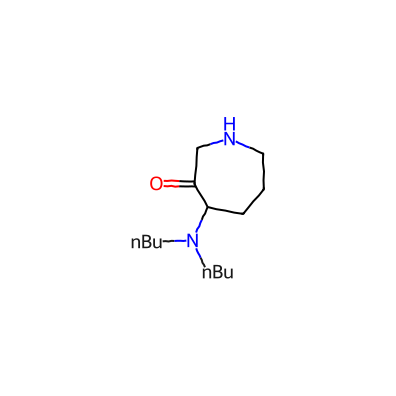 CCCCN(CCCC)C1CCCNCC1=O